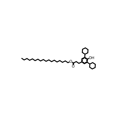 CCCCCCCCCCCCCCCCCCOC(=O)CCc1cc(C2CCCCC2)c(O)c(C2CCCCC2)c1